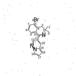 CC1(C)Cc2c(Br)cccc2C(c2cnn3cccc3c2)=N1